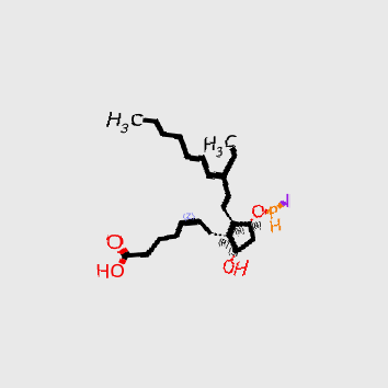 CCCCCCCC(CC)CC[C@@H]1[C@@H](C/C=C\CCCC(=O)O)[C@@H](O)C[C@H]1OPI